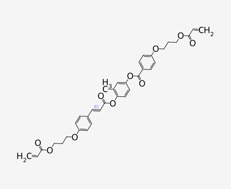 C=CC(=O)OCCCOc1ccc(/C=C/C(=O)Oc2ccc(OC(=O)c3ccc(OCCCOC(=O)C=C)cc3)cc2C)cc1